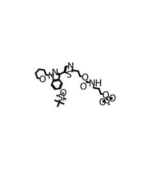 CC(C)(C)[Si](C)(C)Oc1ccc2c(c1)c(-c1cnc(CCOC(=O)NCCCOS(C)(=O)=O)s1)nn2C1CCCCO1